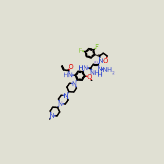 C=CC(=O)Nc1cc(NC(=N)/C=C(\NN)N2OCC[C@@H]2c2ccc(F)cc2F)c(OC)cc1N1CCC(N2CCN(C3CCN(C)CC3)CC2)CC1